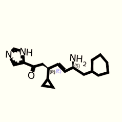 N[C@H](/C=C/[C@H](CC(=O)c1cnc[nH]1)C1CC1)CC1CCCCC1